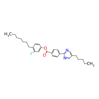 CCCCCCCc1ccc(OC(=O)c2ccc(-c3ncc(CCCCC)cn3)cc2)cc1F